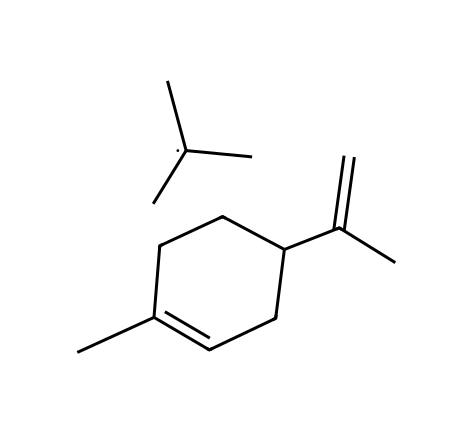 C=C(C)C1CC=C(C)CC1.C[C](C)C